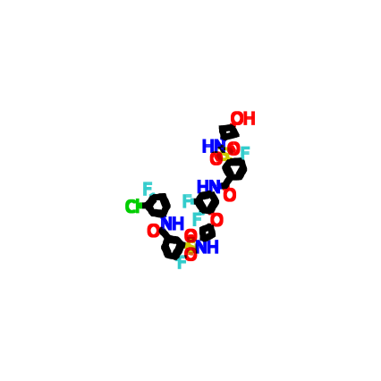 O=C(Nc1cc(F)c(F)c(OC2CC(NS(=O)(=O)c3cc(C(=O)Nc4ccc(F)c(Cl)c4)ccc3F)C2)c1)c1ccc(F)c(S(=O)(=O)NC2CC(O)C2)c1